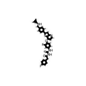 O=C(Cc1ccc(F)cc1)NC(=S)Nc1ccc(Oc2ccnc3c2SC(c2ccc(CNC4CC4)cc2)C3)c(F)c1